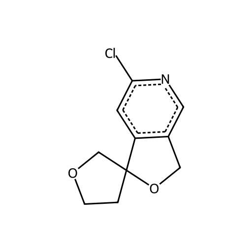 Clc1cc2c(cn1)COC21CCOC1